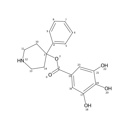 O=C(OC1(c2ccccc2)CCNCC1)c1cc(O)c(O)c(O)c1